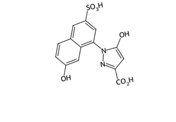 O=C(O)c1cc(O)n(-c2cc(S(=O)(=O)O)cc3ccc(O)cc23)n1